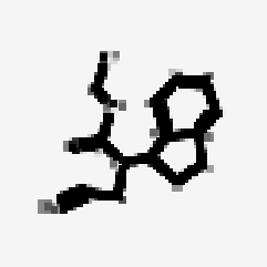 C#CCN(C(=O)OCCl)C1CCc2ccccc21